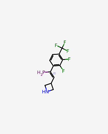 Fc1c(/C(P)=C/C2CNC2)ccc(C(F)(F)F)c1F